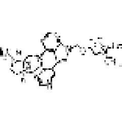 CN1CC[C@@H]2CCN(c3ccnc4c3c(-c3cncnc3)cn4COCC[Si](C)(C)C)C[C@@H]21